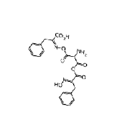 NC(C(=O)ON=C(Cc1ccccc1)C(=O)O)C(=O)OC(=O)C(Cc1ccccc1)=NO